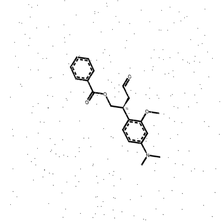 COc1cc(N(C)C)ccc1[C@H](CC=O)COC(=O)c1ccccc1